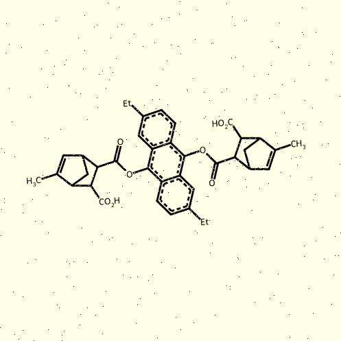 CCc1ccc2c(OC(=O)C3C4C=C(C)C(C4)C3C(=O)O)c3cc(CC)ccc3c(OC(=O)C3C4C=C(C)C(C4)C3C(=O)O)c2c1